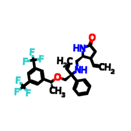 C=CC1CC(=O)N[C@@H]1CN[C@](C=C)(CO[C@H](C)c1cc(C(F)(F)F)cc(C(F)(F)F)c1)c1ccccc1